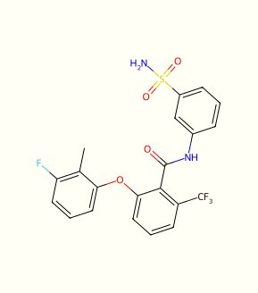 Cc1c(F)cccc1Oc1cccc(C(F)(F)F)c1C(=O)Nc1cccc(S(N)(=O)=O)c1